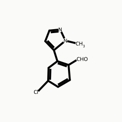 Cn1nccc1-c1cc(Cl)ccc1C=O